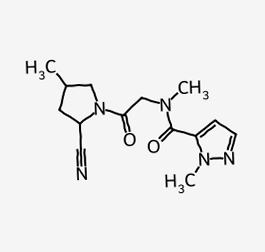 CC1CC(C#N)N(C(=O)CN(C)C(=O)c2ccnn2C)C1